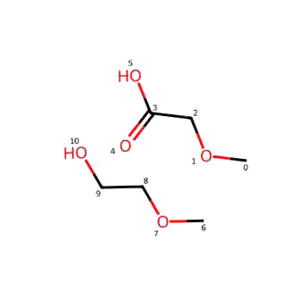 COCC(=O)O.COCCO